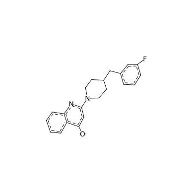 [O]c1cc(N2CCC(Cc3cccc(F)c3)CC2)nc2ccccc12